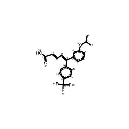 CC(C)Oc1cccc(/C(=C/C=C/C(=O)O)c2ccc(C(F)(F)F)cc2)c1